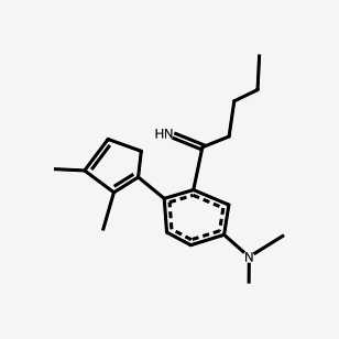 CCCCC(=N)c1cc(N(C)C)ccc1C1=C(C)C(C)=CC1